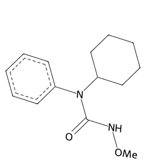 CONC(=O)N(c1ccccc1)C1CCCCC1